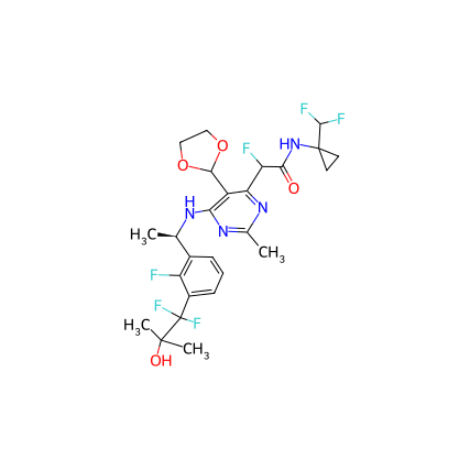 Cc1nc(N[C@H](C)c2cccc(C(F)(F)C(C)(C)O)c2F)c(C2OCCO2)c(C(F)C(=O)NC2(C(F)F)CC2)n1